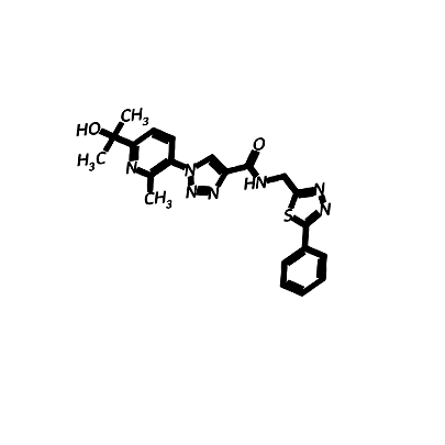 Cc1nc(C(C)(C)O)ccc1-n1cc(C(=O)NCc2nnc(-c3ccccc3)s2)nn1